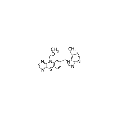 CCc1ncnc2ncn(Cc3ccc4c(c3)N(COC)c3nccnc3S4)c12